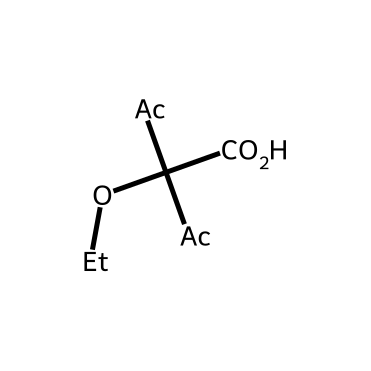 CCOC(C(C)=O)(C(C)=O)C(=O)O